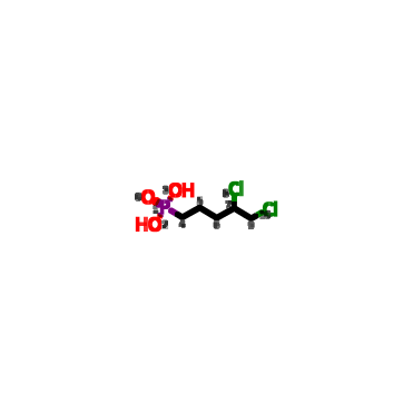 O=P(O)(O)CCCC(Cl)CCl